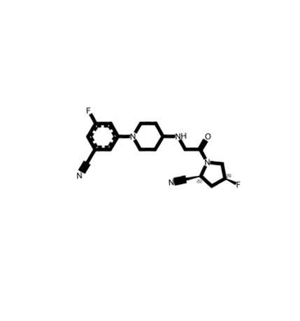 N#Cc1cc(F)cc(N2CCC(NCC(=O)N3C[C@@H](F)C[C@H]3C#N)CC2)c1